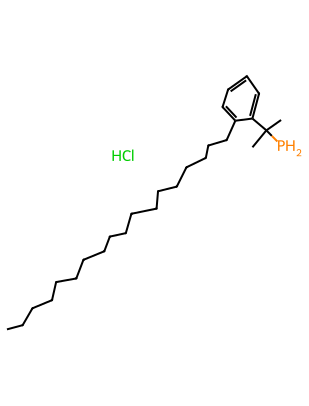 CCCCCCCCCCCCCCCCCCc1ccccc1C(C)(C)P.Cl